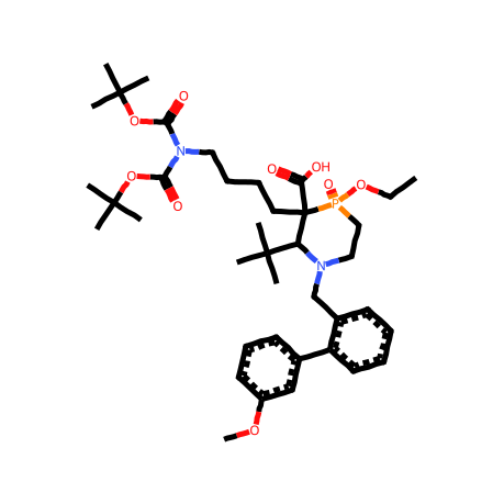 CCOP1(=O)CCN(Cc2ccccc2-c2cccc(OC)c2)C(C(C)(C)C)C1(CCCCN(C(=O)OC(C)(C)C)C(=O)OC(C)(C)C)C(=O)O